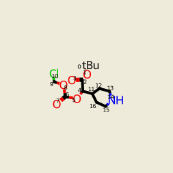 CC(C)(C)OC(=O)C(OC(=O)OCCl)C1CCNCC1